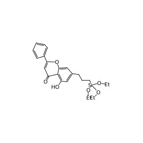 CCO[Si](CCCc1cc(O)c2c(=O)cc(-c3ccccc3)oc2c1)(OCC)OCC